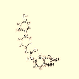 O=C(C=C1CCN(c2ccc(F)cn2)CC1)Nc1ccc2[nH]c(=O)oc2c1